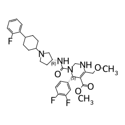 COCC1=C(C(=O)OC)[C@H](c2ccc(F)c(F)c2)N(C(=O)N[C@@H]2CCN(C3CCC(c4ccccc4F)CC3)C2)CN1